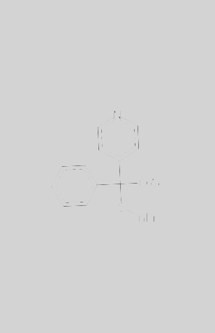 CCCSC(OC(C)=O)(c1ccccc1)c1ccncc1